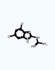 N=C(N)Nc1nc2c(Cl)cc(Cl)cc2[nH]1